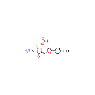 NCCN1C(=O)C(=Cc2ccc(-c3ccc(C(=O)O)cc3)o2)SC1=S.O=C(O)C(F)(F)F